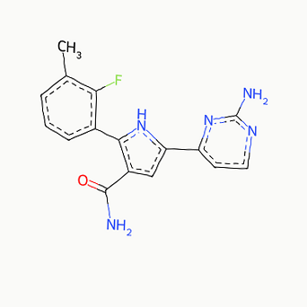 Cc1cccc(-c2[nH]c(-c3ccnc(N)n3)cc2C(N)=O)c1F